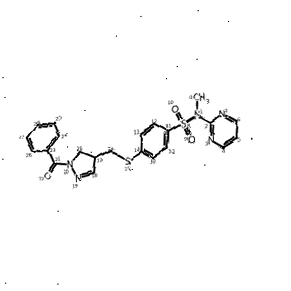 CN(c1ncccn1)S(=O)(=O)c1ccc(SCC2C=NN(C(=O)c3ccccc3)C2)cc1